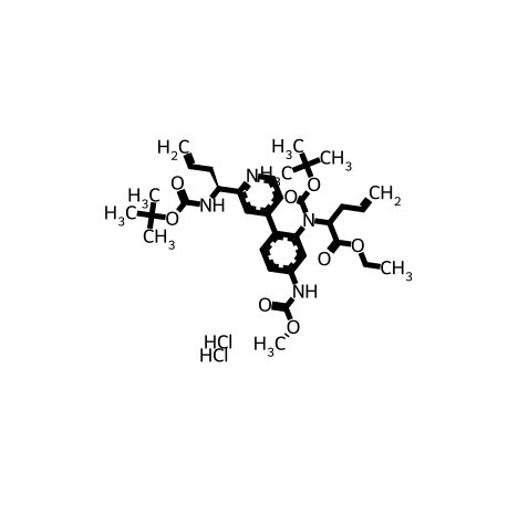 C=CCC(C(=O)OCC)N(C(=O)OC(C)(C)C)c1cc(NC(=O)OC)ccc1-c1ccnc([C@H](CC=C)NC(=O)OC(C)(C)C)c1.Cl.Cl